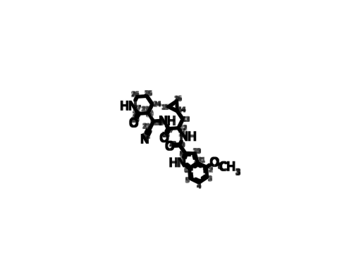 COc1cccc2[nH]c(C(=O)NC(CC3CC3)C(=O)NC(C#N)[C@@H]3CCCNC3=O)cc12